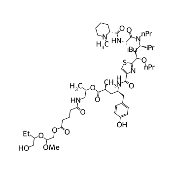 CCCO[C@H](C[C@H](C(C)C)N(CCC)C(=O)[C@@H](NC(=O)[C@H]1CCCCN1C)[C@@H](C)CC)c1nc(C(=O)N[C@@H](Cc2ccc(O)cc2)C[C@H](C)C(=O)OC(C)CNC(=O)CCCC(=O)OCC(OC)OC(CC)CO)cs1